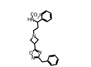 O=C(O)NC(CCN1CC(c2nc(Cc3ccccc3)no2)C1)c1ccccc1